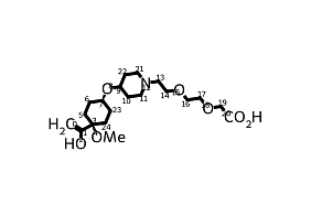 C=C(O)[C@]1(OC)CC[C@@H](OC2CCN(CCOCCOCC(=O)O)CC2)CC1